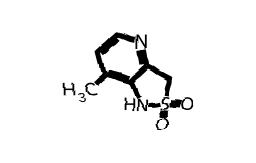 Cc1ccnc2c1NS(=O)(=O)C2